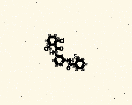 O=C(Nc1cc(NC(=O)c2c(Cl)cccc2Cl)ccn1)c1ccccc1F